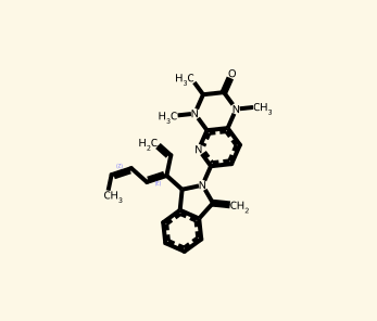 C=C/C(=C\C=C/C)C1c2ccccc2C(=C)N1c1ccc2c(n1)N(C)C(C)C(=O)N2C